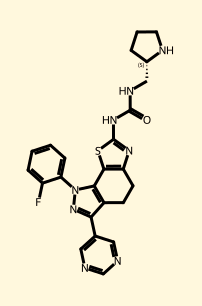 O=C(NC[C@@H]1CCCN1)Nc1nc2c(s1)-c1c(c(-c3cncnc3)nn1-c1ccccc1F)CC2